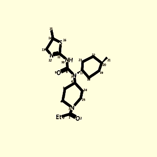 CCC(=O)N1CCC(N(C(=O)NC2=NCC(C)S2)[C@H]2CC[C@H](C)CC2)CC1